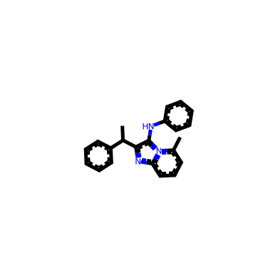 Cc1cccc2nc(C(C)c3ccccc3)c(Nc3ccccc3)n12